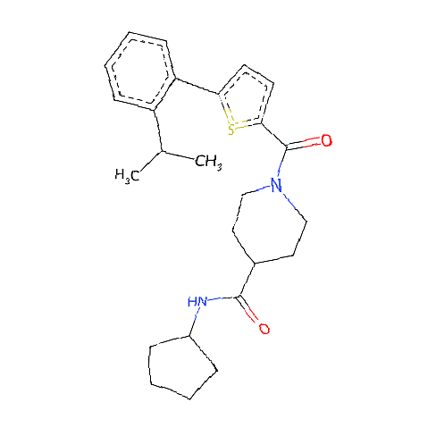 CC(C)c1ccccc1-c1ccc(C(=O)N2CCC(C(=O)NC3CCCC3)CC2)s1